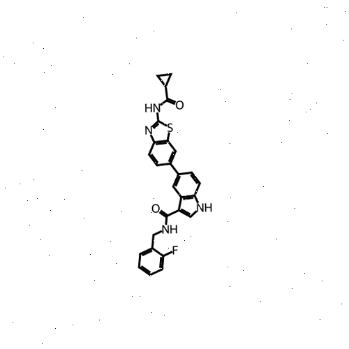 O=C(NCc1ccccc1F)c1c[nH]c2ccc(-c3ccc4nc(NC(=O)C5CC5)sc4c3)cc12